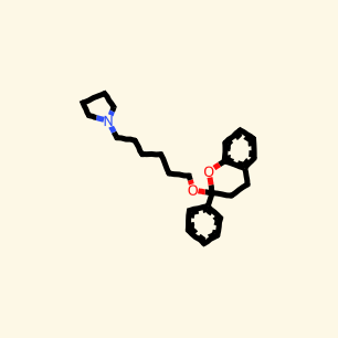 c1ccc(C2(OCCCCCCN3CCCC3)CCc3ccccc3O2)cc1